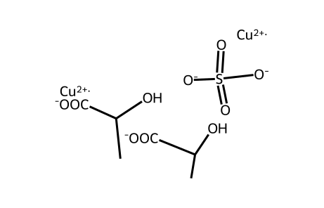 CC(O)C(=O)[O-].CC(O)C(=O)[O-].O=S(=O)([O-])[O-].[Cu+2].[Cu+2]